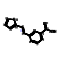 O=C(O)c1cccc(/C=C/c2cccs2)c1